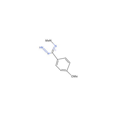 CN/N=C(\N=N)c1ccc(OC)cc1